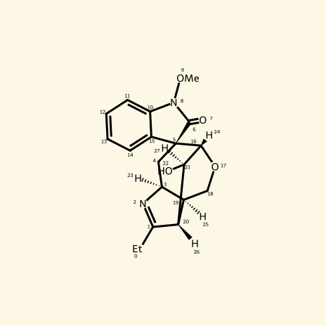 CCC1=N[C@H]2C[C@@]3(C(=O)N(OC)c4ccccc43)[C@@H]3OC[C@H]2[C@H]1[C@H]3O